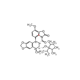 COc1ccc([C@@H]2c3cc4c(cc3[C@H](C)[C@@H](CO[Si](C(C)C)(C(C)C)C(C)C)[C@H]2C(=O)N2CCOC2=O)OCO4)cc1